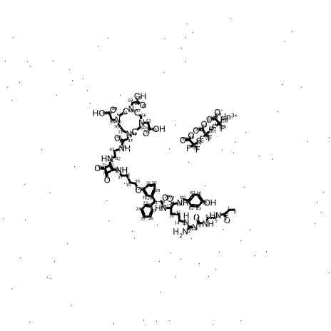 CCC(=O)NCCNC(=O)/N=C(/N)NCCCC(NC(=O)[C@H](c1ccccc1)c1cccc(OCCCCNc2c(NCCNC(=O)CN3CCN(CC(=O)O)CCN(CC(=O)O)CCN(CC(=O)O)CC3)c(=O)c2=O)c1)C(=O)NCc1ccc(O)cc1.O=C([O-])C(F)(F)F.O=C([O-])C(F)(F)F.O=C([O-])C(F)(F)F.[In+3]